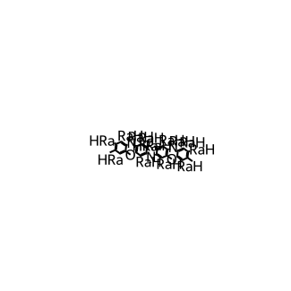 Cc1[c]([RaH])[c]([RaH])c2c([c]1[RaH])Oc1[c]([RaH])c(N(C)c3[c]([RaH])[c]([RaH])c4c([c]3[RaH])Oc3[c]([RaH])c(C)[c]([RaH])[c]([RaH])c3[N]4[RaH])[c]([RaH])[c]([RaH])c1[N]2[RaH]